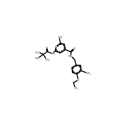 Cc1cc(C(=O)NCc2ccc(OCC(F)(F)F)c(C)c2)cc(NC(=O)C(C)(C)O)n1